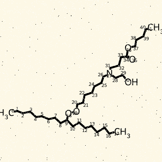 CCCCCCCCCC(CCCCCCCC)OOCCCCCCCN(CCO)CCCC(=O)OCCCCC